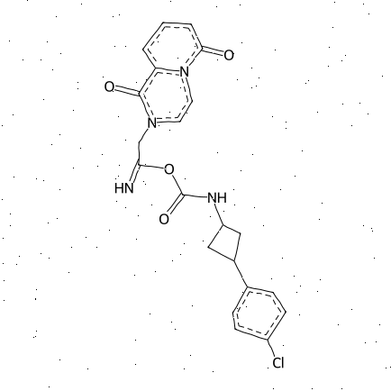 N=C(Cn1ccn2c(=O)cccc2c1=O)OC(=O)NC1CC(c2ccc(Cl)cc2)C1